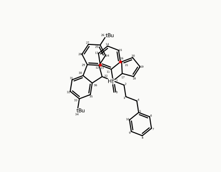 [CH2]=[Hf]([CH2]CCc1ccccc1)([c]1ccccc1)([CH]1C=CC=C1)[CH]1c2cc(C(C)(C)C)ccc2-c2ccc(C(C)(C)C)cc21